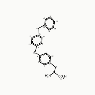 NC(Cc1ccc(Oc2ccc(Cc3ccccc3)cc2)cc1)C(=O)O